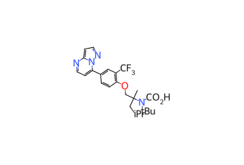 CC(C)CC(C)(COc1ccc(-c2ccnc3ccnn23)cc1C(F)(F)F)N(C(=O)O)C(C)(C)C